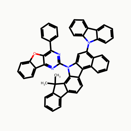 CC1(C)c2ccccc2-c2ccc3c4c5ccccc5c(-n5c6ccccc6c6ccccc65)cc4n(-c4nc(-c5ccccc5)c5oc6ccccc6c5n4)c3c21